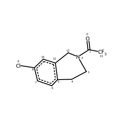 O=C(N1CCc2ccc(Cl)cc2C1)C(F)(F)F